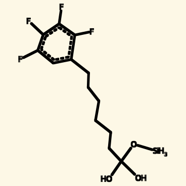 OC(O)(CCCCCCc1cc(F)c(F)c(F)c1F)O[SiH3]